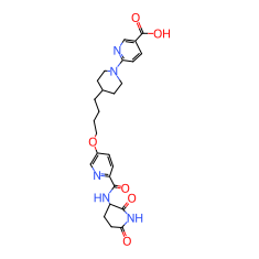 O=C1CCC(NC(=O)c2ccc(OCCCCC3CCN(c4ccc(C(=O)O)cn4)CC3)cn2)C(=O)N1